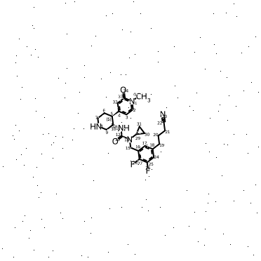 Cn1ccc([C@@H]2CCNC[C@H]2NC(=O)N(Cc2cc(CCCC#N)cc(F)c2F)C2CC2)cc1=O